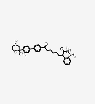 CC1(c2ccc(-c3ccc(C(=O)CCCCCC(C(N)=O)c4ccccc4N)cc3)cc2)CNCCO1